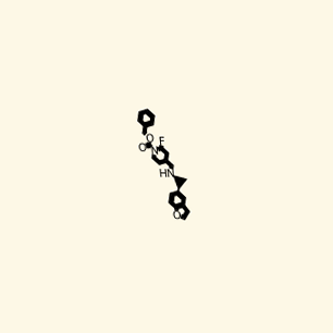 O=C(OCc1ccccc1)N1CCC(CN[C@@H]2C[C@H]2c2ccc3c(c2)CCO3)CC1F